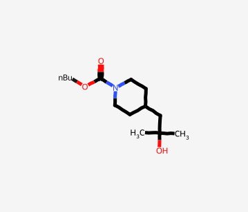 CCCCOC(=O)N1CCC(CC(C)(C)O)CC1